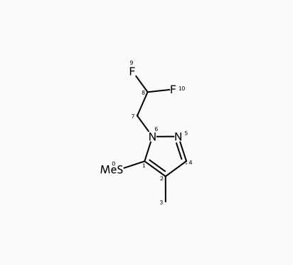 CSc1c(C)[c]nn1CC(F)F